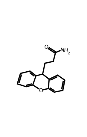 NC(=O)CCC1c2ccccc2Oc2ccccc21